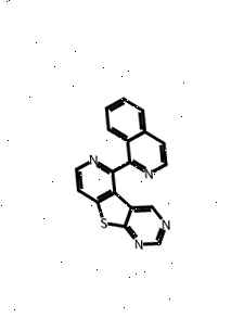 c1ccc2c(-c3nccc4sc5ncncc5c34)nccc2c1